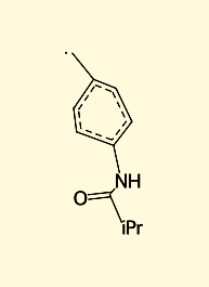 [CH2]c1ccc(NC(=O)C(C)C)cc1